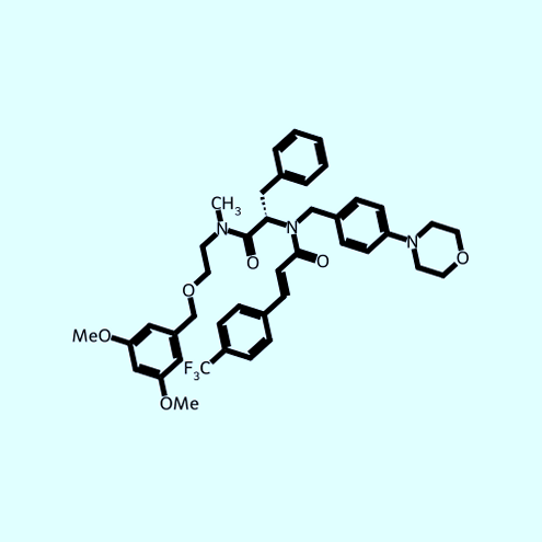 COc1cc(COCCN(C)C(=O)[C@H](Cc2ccccc2)N(Cc2ccc(N3CCOCC3)cc2)C(=O)/C=C/c2ccc(C(F)(F)F)cc2)cc(OC)c1